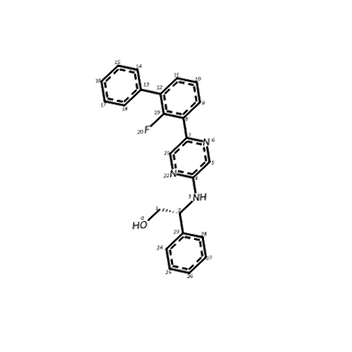 OC[C@H](Nc1cnc(-c2cccc(-c3ccccc3)c2F)cn1)c1ccccc1